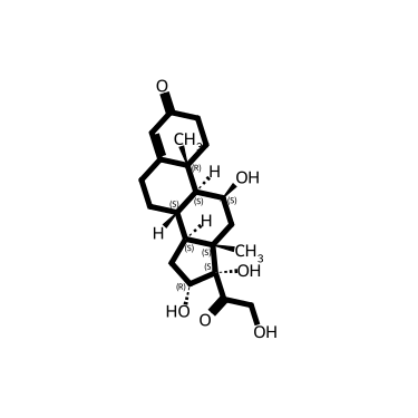 C[C@]12CCC(=O)C=C1CC[C@@H]1[C@@H]2[C@@H](O)C[C@@]2(C)[C@H]1C[C@@H](O)[C@]2(O)C(=O)CO